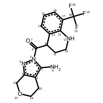 Nc1c2c(nn1C(=O)C1CCNc3c1cccc3C(F)(F)F)COCC2